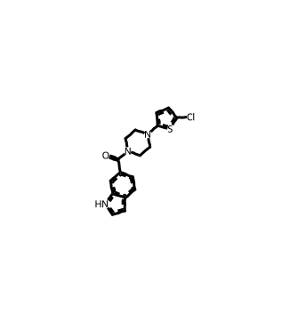 O=C(c1ccc2cc[nH]c2c1)N1CCN(c2ccc(Cl)s2)CC1